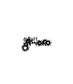 O=c1c2c(nc(SCCCN3CCN(c4ccc5ccccc5n4)CC3)n1[AsH2])C1=C(CCCCCS1)C2